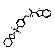 O=C(NCc1ccc(S(=O)(=O)N2CC3(CCOCC3)C2)cc1)c1cc2ccncc2o1